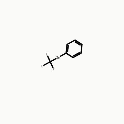 F[C](F)(F)[Zn][c]1ccccc1